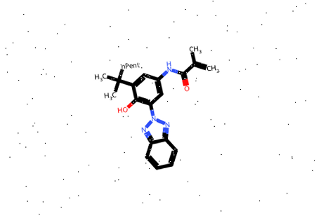 C=C(C)C(=O)Nc1cc(-n2nc3ccccc3n2)c(O)c(C(C)(C)CCCCC)c1